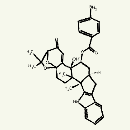 Bc1ccc(C(=O)O[C@H]2C[C@H]3Cc4c([nH]c5ccccc45)[C@]3(C)C3(C)CC[C@@]45OC(C(=O)C=C4[C@]23O)C(C)(C)O5)cc1